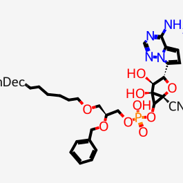 CCCCCCCCCCCCCCCCOC[C@@H](COP(=O)(O)OC1[C@@]2(C#N)O[C@@H](c3ccc4c(N)ncnn34)[C@H](O)[C@@]12O)OCc1ccccc1